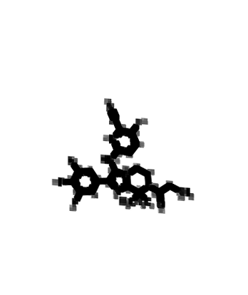 CC1(C)c2nc(-c3cc(F)c(F)c(F)c3)c(Nc3ccc(F)c(C#N)n3)n2CCN1C(=O)CN